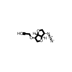 C#CCO[C@@H]1CO[C@H]2[C@H]1OC[C@@H]2N=[N+]=[N-]